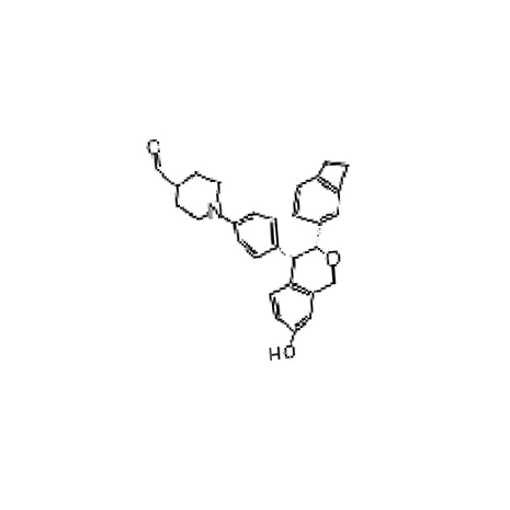 O=CC1CCN(c2ccc([C@H]3c4ccc(O)cc4CO[C@H]3c3ccc4c(c3)CC4)cc2)CC1